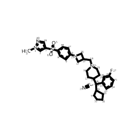 Cn1cc(S(=O)(=O)c2ccc(N3CC(CN4CCC([C@@](C#N)(c5cccc(F)c5)C5CCCC5)CC4)C3)cc2)cn1